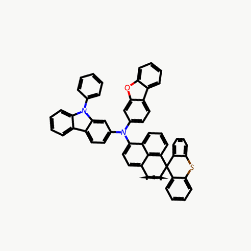 c1ccc(-n2c3ccccc3c3ccc(N(c4ccc5c(c4)oc4ccccc45)c4ccc5c6c(cccc46)C4(c6ccccc6Sc6ccccc64)c4ccccc4-5)cc32)cc1